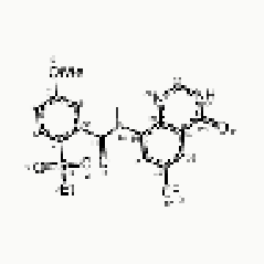 CCS(=O)(=O)c1ccc(OC)cc1C(=O)Nc1cc(C(F)(F)F)cc2c(=O)[nH]cnc12